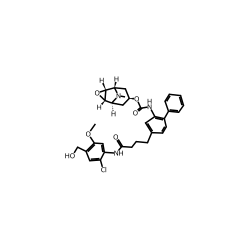 COc1cc(NC(=O)CCCc2ccc(-c3ccccc3)c(NC(=O)O[C@H]3C[C@H]4[C@@H]5O[C@@H]5[C@H](C3)N4C)c2)c(Cl)cc1CO